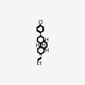 CCC=C[C@@H]1CC[C@H]2[C@H](CC[C@H]3C[C@H](c4ccc(Cl)cc4)CC[C@@H]32)C1